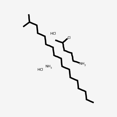 CC(Cl)CCCN.CCCCCCCCCCCCCCCC(C)C.Cl.Cl.N